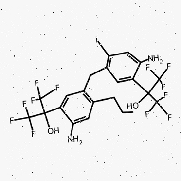 CCCc1cc(N)c(C(O)(C(F)(F)F)C(F)(F)F)cc1Cc1cc(C(O)(C(F)(F)F)C(F)(F)F)c(N)cc1I